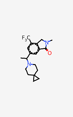 CC(c1cc2c(c(C(F)(F)F)c1)CN(C)C2=O)N1CCC2(CC1)CC2